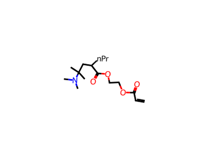 C=CC(=O)OCCOC(=O)C(CCC)CC(C)(C)N(C)C